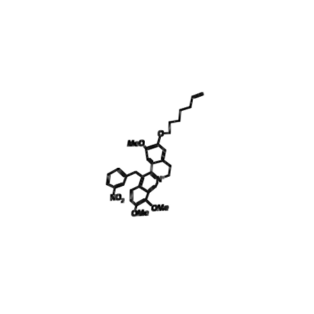 C=CCCCCCOc1cc2c(cc1OC)-c1c(Cc3cccc([N+](=O)[O-])c3)c3ccc(OC)c(OC)c3c[n+]1CC2